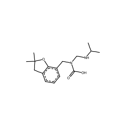 CC(C)NCN(Cc1cccc2c1OC(C)(C)C2)C(=O)O